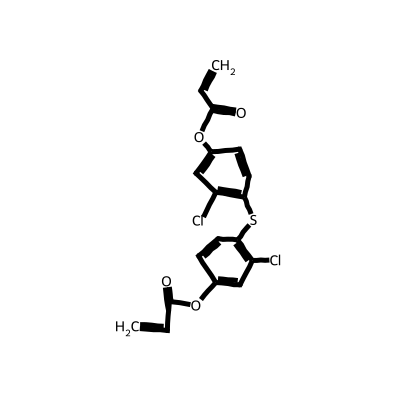 C=CC(=O)Oc1ccc(Sc2ccc(OC(=O)C=C)cc2Cl)c(Cl)c1